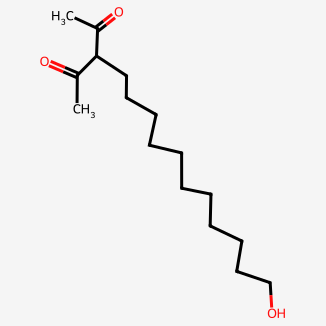 CC(=O)C(CCCCCCCCCCCO)C(C)=O